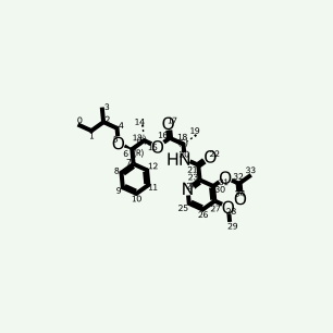 CCC(C)CO[C@H](c1ccccc1)[C@H](C)OC(=O)[C@H](C)NC(=O)c1nccc(OC)c1OC(C)=O